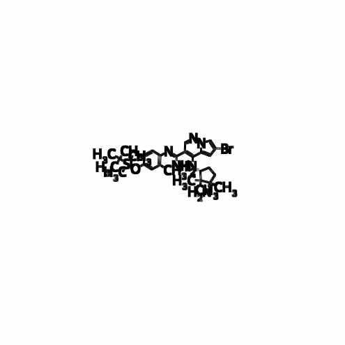 Cc1cc(O[Si](C)(C)C(C)(C)C)ccc1/N=C(\N)c1cnn2cc(Br)cc2c1N[C@@H]1CC[C@](C)(N)C1(C)C